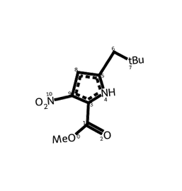 COC(=O)c1[nH]c(CC(C)(C)C)cc1[N+](=O)[O-]